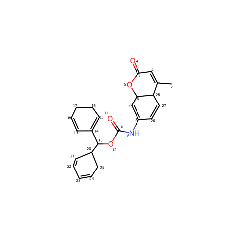 CC1=CC(=O)OC2C=C(NC(=O)OC(C3=CCCC=C3)C3C=CC=CC3)C=CC12